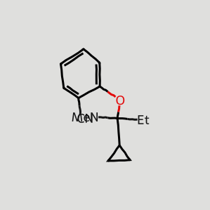 CCC(NC)(Oc1ccccc1C#N)C1CC1